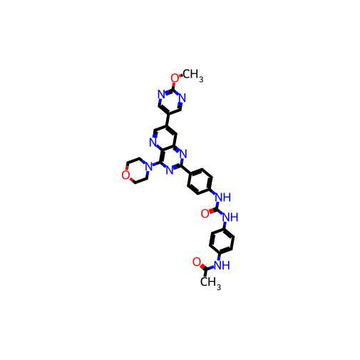 COc1ncc(-c2cnc3c(N4CCOCC4)nc(-c4ccc(NC(=O)Nc5ccc(NC(C)=O)cc5)cc4)nc3c2)cn1